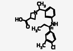 CC[C@@H](Nc1cccc(C(C)N2CC(C(=O)O)C2)c1)c1ccc(Cl)c(C)c1